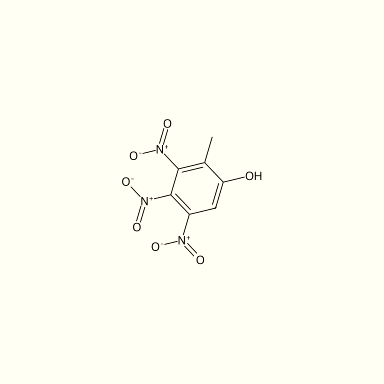 Cc1c(O)cc([N+](=O)[O-])c([N+](=O)[O-])c1[N+](=O)[O-]